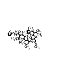 CSCC[C@H](NC(=O)C(Cn1nc(C)cc1C)C(C)C)C(=O)N[C@@H](CC(C)C)[C@@H](O)C[C@@H](C)C(=O)N[C@H](C(=O)NCc1ccco1)C(C)C